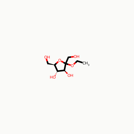 CCOC1(CO)O[C@H](CO)[C@@H](O)[C@@H]1O